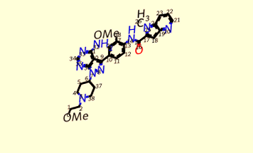 COCCN1CCC(n2nc(-c3ccc(NC(=O)c4cc5ncccc5n4C)c(OC)c3)c3c(N)ncnc32)CC1